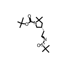 CC(C)(C)OC(=O)N1C[C@@H](C/C=N/[S+]([O-])C(C)(C)C)CC1(C)C